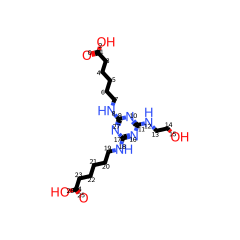 O=C(O)CCCCCNc1nc(NCCO)nc(NCCCCCC(=O)O)n1